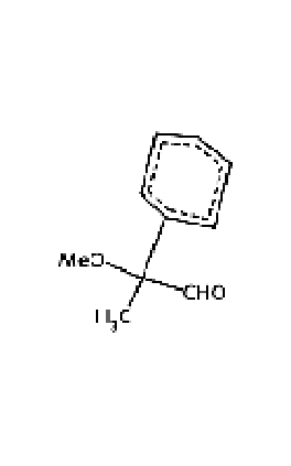 COC(C)(C=O)c1ccccc1